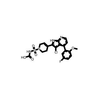 COc1ccc(F)cc1-c1ccnc2[nH]c(C3=CCN(S(=O)(=O)NC(=O)O)CC3)c(Cl)c12